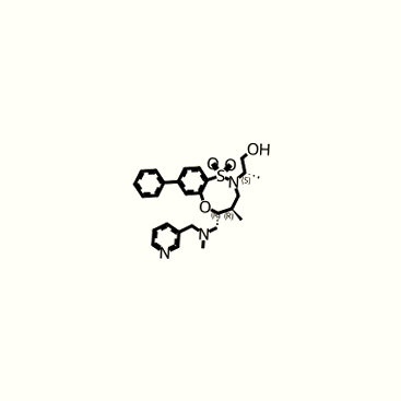 C[C@@H]1CN([C@@H](C)CO)S(=O)(=O)c2ccc(-c3ccccc3)cc2O[C@H]1CN(C)Cc1cccnc1